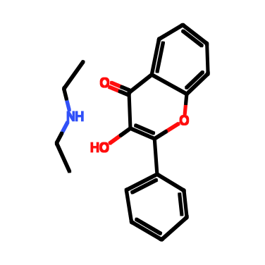 CCNCC.O=c1c(O)c(-c2ccccc2)oc2ccccc12